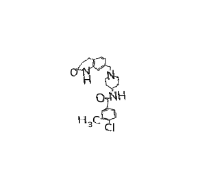 Cc1cc(C(=O)NC2CCN(Cc3ccc4c(c3)NC(=O)CC4)CC2)ccc1Cl